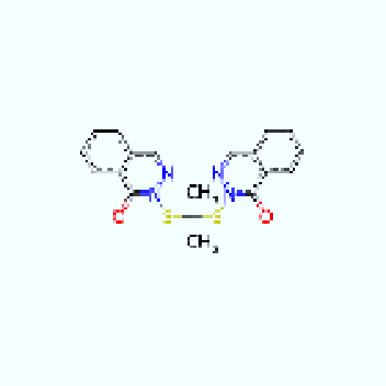 CC(C)(Sn1ncc2ccccc2c1=O)Sn1ncc2ccccc2c1=O